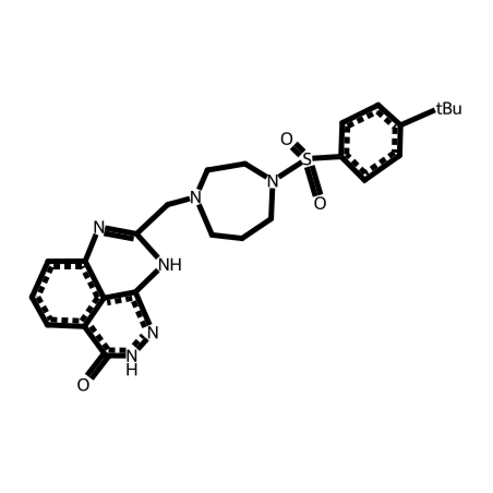 CC(C)(C)c1ccc(S(=O)(=O)N2CCCN(CC3=Nc4cccc5c(=O)[nH]nc(c45)N3)CC2)cc1